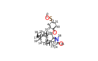 COSc1ccc(OC2C(C)[C@@H]3[C@@H](CC[C@]4(C)CCC[C@@H]34)[C@@]3(C)CCC(=O)N(C)C23)cc1